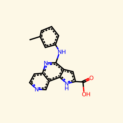 Cc1cccc(Nc2nc3ccncc3c3[nH]c(C(=O)O)cc23)c1